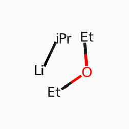 CCOCC.[Li][CH](C)C